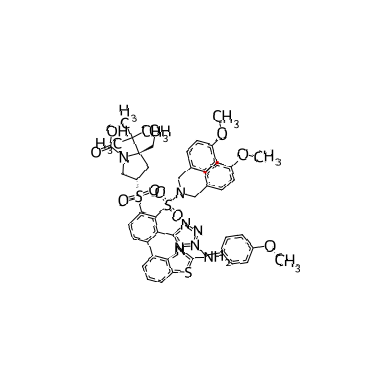 COc1ccc(CN(Cc2ccc(OC)cc2)S(=O)(=O)c2c(S(=O)(=O)[C@@H]3CN(C(=O)O)[C@](CO)(C(C)(C)C)C3)ccc(-c3cccc4sc(N)nc34)c2-c2nnn(Cc3ccc(OC)cc3)n2)cc1